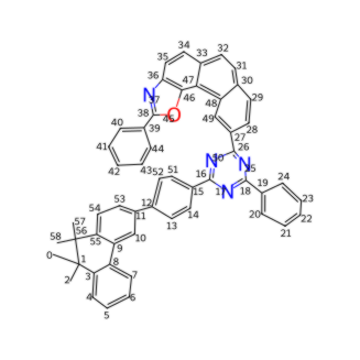 CC1(C)c2ccccc2-c2cc(-c3ccc(-c4nc(-c5ccccc5)nc(-c5ccc6ccc7ccc8nc(-c9ccccc9)oc8c7c6c5)n4)cc3)ccc2C1(C)C